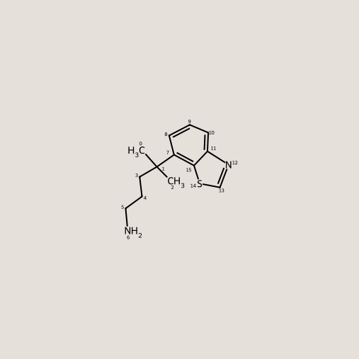 CC(C)(CCCN)c1cccc2ncsc12